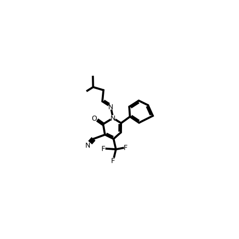 CC(C)CC=Nn1c(-c2ccccc2)cc(C(F)(F)F)c(C#N)c1=O